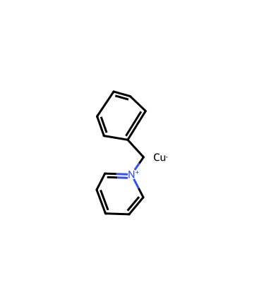 [Cu].c1ccc(C[n+]2ccccc2)cc1